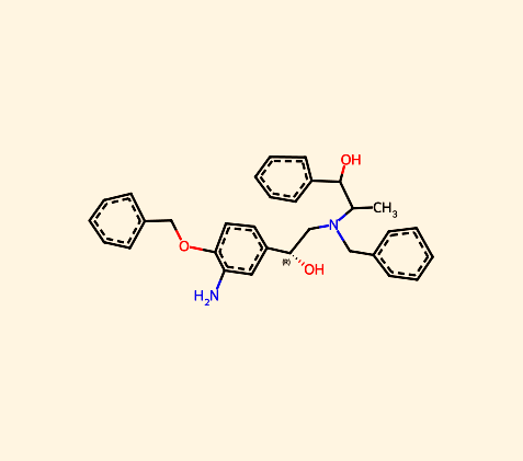 CC(C(O)c1ccccc1)N(Cc1ccccc1)C[C@H](O)c1ccc(OCc2ccccc2)c(N)c1